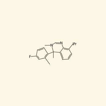 Cc1cc(F)ccc1C1(C)c2cccc(C(C)C)c2N=CN1C